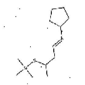 CC(CC=NC1CCCC1)S[Si](C)(C)C